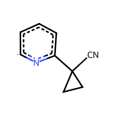 N#CC1(c2ccc[c]n2)CC1